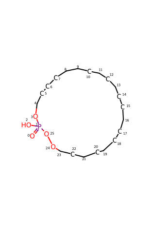 O=P1(O)OCCCCCCCCCCCCCCCCCCCCOO1